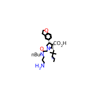 C/C=C/C(C)(C)C[C@H]1[C@H](C(=O)O)[C@@H](c2ccc3c(c2)CCO3)CN1CC(=O)N(CCCC)CCCN